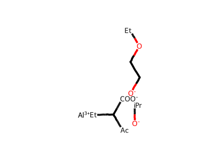 CC(C)[O-].CCC(C(C)=O)C(=O)[O-].CCOCC[O-].[Al+3]